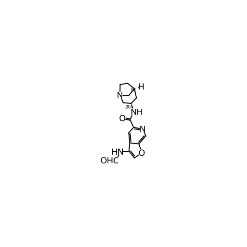 O=CNc1coc2cnc(C(=O)N[C@@H]3C[C@@H]4CCN(C4)C3)cc12